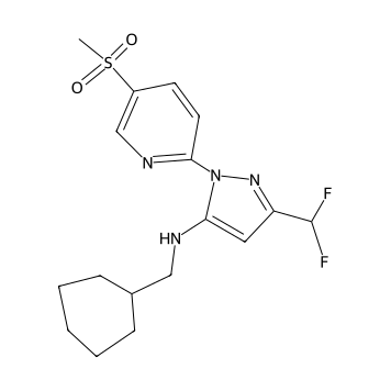 CS(=O)(=O)c1ccc(-n2nc(C(F)F)cc2NCC2CCCCC2)nc1